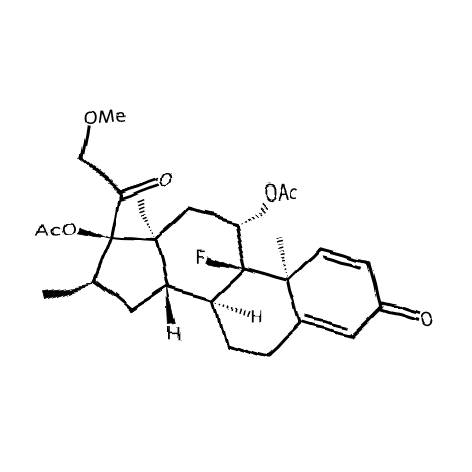 COCC(=O)[C@@]1(OC(C)=O)[C@H](C)C[C@H]2[C@@H]3CCC4=CC(=O)C=C[C@]4(C)[C@@]3(F)[C@@H](OC(C)=O)C[C@@]21C